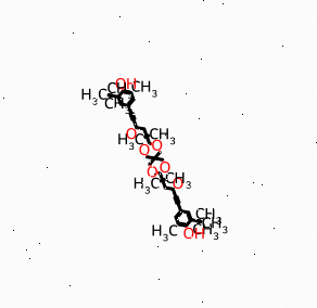 Cc1cc(C#CC(=O)CC(C)(C)C2OCC3(CO2)COC(C(C)(C)CC(=O)C#Cc2cc(C)c(O)c(C(C)(C)C)c2)OC3)cc(C(C)(C)C)c1O